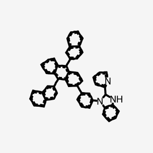 c1ccc(C2Nc3ccccc3N2c2cccc(-c3ccc4c(-c5ccc6ccccc6c5)c5ccccc5c(-c5ccc6ccccc6c5)c4c3)c2)nc1